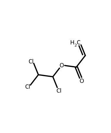 C=CC(=O)OC(Cl)C(Cl)Cl